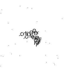 Cc1ccc(CN(CCOCC(=O)OC(C)(C)C)c2cc(C)ccc2CN2CCN(C(=O)OC(C(F)(F)F)C(F)(F)F)CC2)cc1